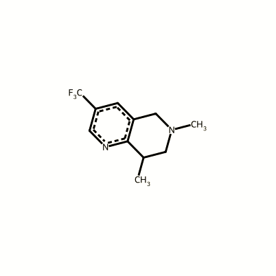 CC1CN(C)Cc2cc(C(F)(F)F)cnc21